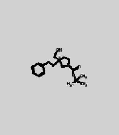 CC(C)(C)OC(=O)N1CC[C@@](CO)(CCc2ccccc2)C1